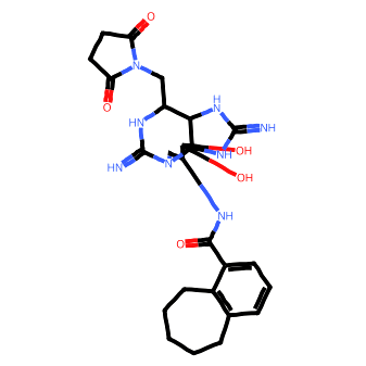 N=C1NC2C(CN3C(=O)CCC3=O)NC(=N)N3CC(NC(=O)c4cccc5c4CCCCC5)C(O)(O)C23N1